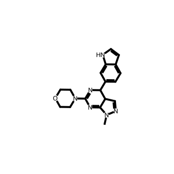 CN1N=CC2C1=NC(N1CCOCC1)=NC2c1ccc2cc[nH]c2c1